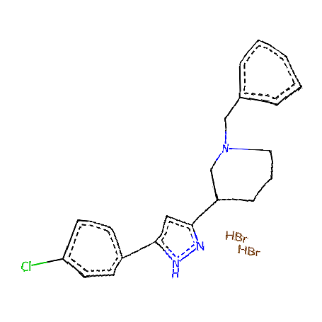 Br.Br.Clc1ccc(-c2cc(C3CCCN(Cc4ccccc4)C3)n[nH]2)cc1